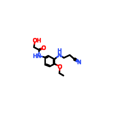 CCOc1ccc(NC(=O)CO)cc1NCCC#N